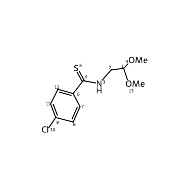 COC(CNC(=S)c1ccc(Cl)cc1)OC